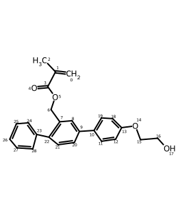 C=C(C)C(=O)OCc1cc(-c2ccc(OCCO)cc2)ccc1-c1ccccc1